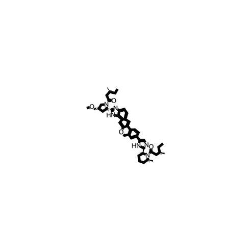 CC[C@@H](C)CC(=O)N1C[C@@H](COC)C[C@H]1c1nc2ccc3cc4c(cc3c2[nH]1)OCc1cc(-c2cnc([C@@H]3CCC[C@H](C)N3C(=O)C[C@H](C)CC)[nH]2)ccc1-4